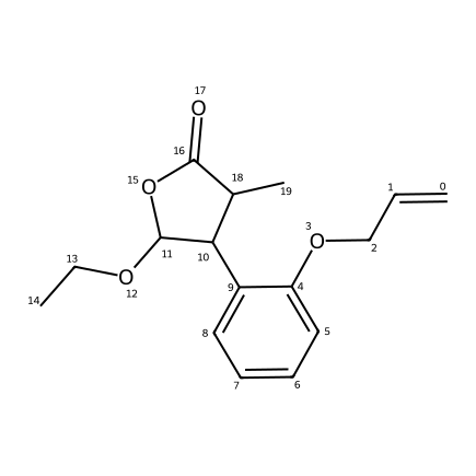 C=CCOc1ccccc1C1C(OCC)OC(=O)C1C